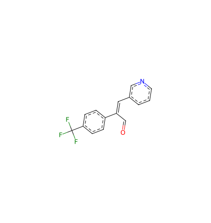 O=C/C(=C\c1cccnc1)c1ccc(C(F)(F)F)cc1